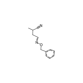 CC(C#N)CC=NOCc1ccccc1